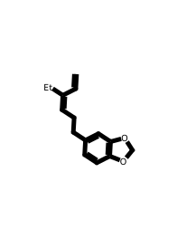 C=CC(=CCCc1ccc2c(c1)OCO2)CC